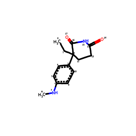 CCC1(c2ccc(NC)cc2)CCC(=O)NC1=O